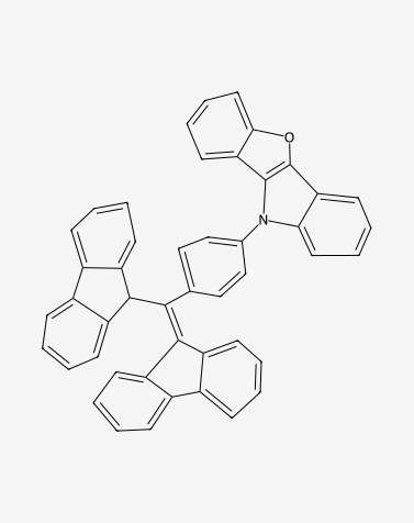 c1ccc2c(c1)C(=C(c1ccc(-n3c4ccccc4c4oc5ccccc5c43)cc1)C1c3ccccc3-c3ccccc31)c1ccccc1-2